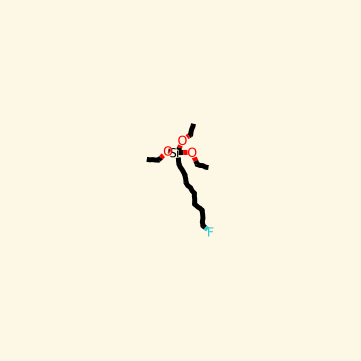 CCO[Si](CCCCCCCF)(OCC)OCC